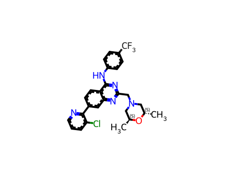 C[C@H]1CN(Cc2nc(Nc3ccc(C(F)(F)F)cc3)c3ccc(-c4ncccc4Cl)cc3n2)C[C@H](C)O1